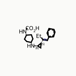 CC/C(=C\c1ccccc1)[C@@H]1C[C@H]1N[C@H]1CC[C@@H](NC(=O)O)CC1